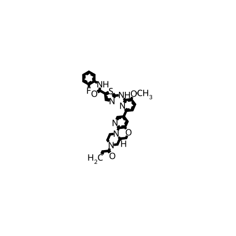 C=CC(=O)N1CCN2c3ncc(-c4ccc(OC)c(Nc5ncc(C(=O)Nc6ccccc6F)s5)n4)cc3OC[C@@H]2C1